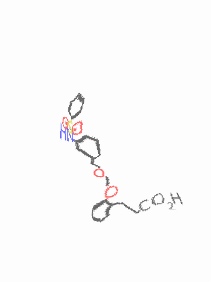 O=C(O)CCc1ccccc1OCCOCCc1cccc(NS(=O)(=O)c2ccccc2)c1